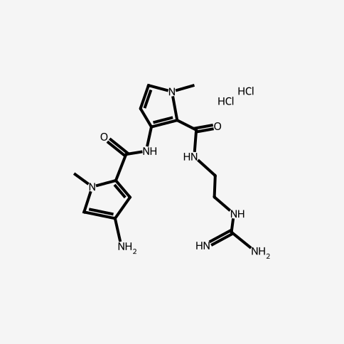 Cl.Cl.Cn1cc(N)cc1C(=O)Nc1ccn(C)c1C(=O)NCCNC(=N)N